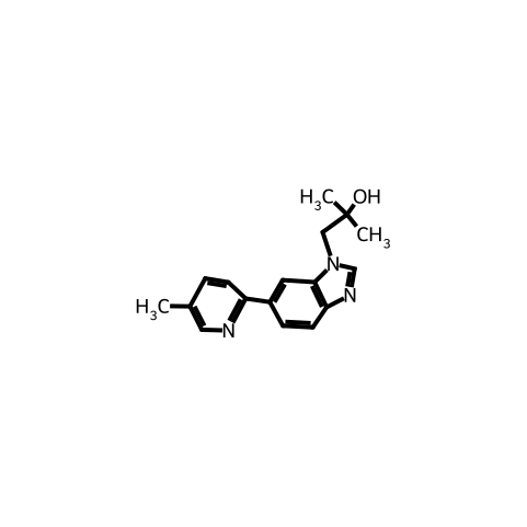 Cc1ccc(-c2ccc3ncn(CC(C)(C)O)c3c2)nc1